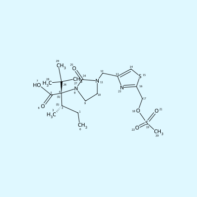 CC[C@H](C)[C@](C(=O)O)(N1CCN(Cc2csc(COS(C)(=O)=O)n2)C1=O)C(C)(C)C